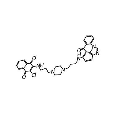 O=C1C(Cl)=C(NCCCN2CCN(CCCNc3ccc4ncn5c6ccccc6c(=O)c3c45)CC2)C(=O)c2ccccc21